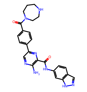 Nc1ncc(-c2ccc(C(=O)N3CCCNCC3)cc2)nc1C(=O)Nc1ccc2cn[nH]c2c1